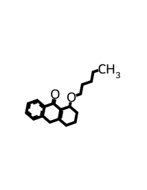 CCCCCOC1CCCC2=C1C(=O)c1ccccc1C2